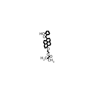 C=C(C)C(=O)OCCOc1ccc2ccc3c(C(=O)c4ccccc4O)ccc4ccc1c2c43